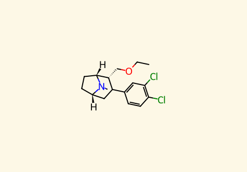 CCOC[C@@H]1C(c2ccc(Cl)c(Cl)c2)C[C@@H]2CC[C@H]1N2C